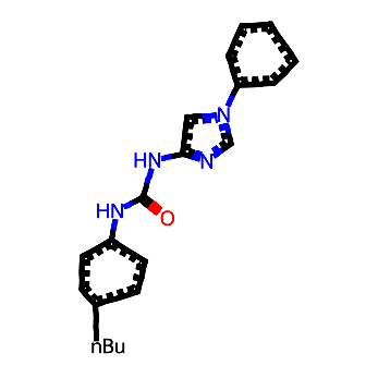 CCCCc1ccc(NC(=O)Nc2cn(-c3ccccc3)cn2)cc1